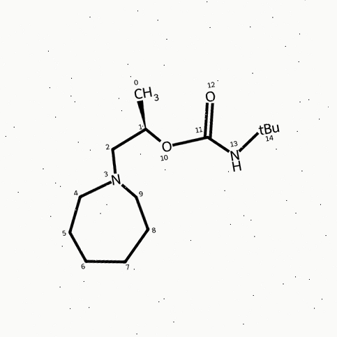 C[C@H](CN1CCCCCC1)OC(=O)NC(C)(C)C